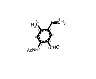 C=Cc1cc(C=O)c(NC(C)=O)cc1C